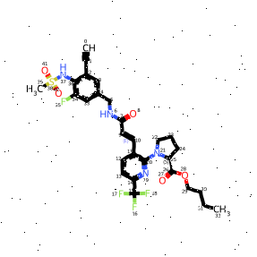 C#Cc1cc(CNC(=O)/C=C/c2ccc(C(F)(F)F)nc2N2CCC[C@H]2C(=O)OCCCC)cc(F)c1NS(C)(=O)=O